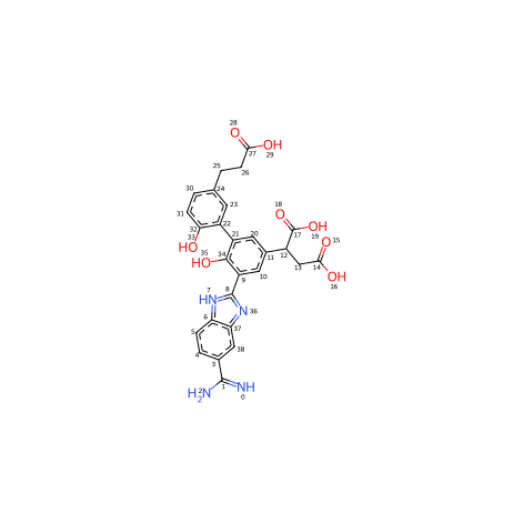 N=C(N)c1ccc2[nH]c(-c3cc(C(CC(=O)O)C(=O)O)cc(-c4cc(CCC(=O)O)ccc4O)c3O)nc2c1